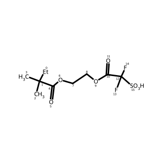 CCC(C)(C)C(=O)OCCOC(=O)C(F)(F)S(=O)(=O)O